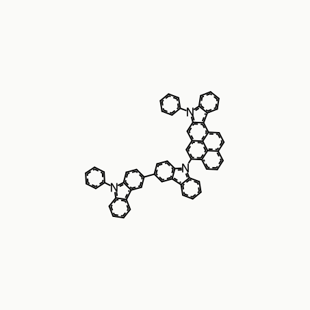 c1ccc(-n2c3ccccc3c3cc(-c4ccc5c(c4)c4ccccc4n5-c4cc5cc6c(c7ccc8cccc4c8c57)c4ccccc4n6-c4ccccc4)ccc32)cc1